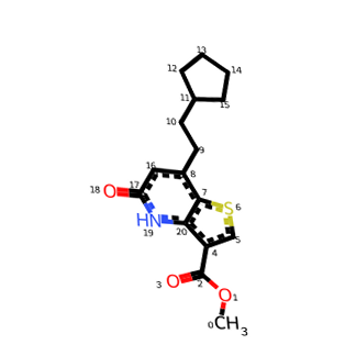 COC(=O)c1csc2c(CCC3CCCC3)cc(=O)[nH]c12